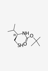 CC(C)[C@H](CS)NC(=O)OC(C)(C)C